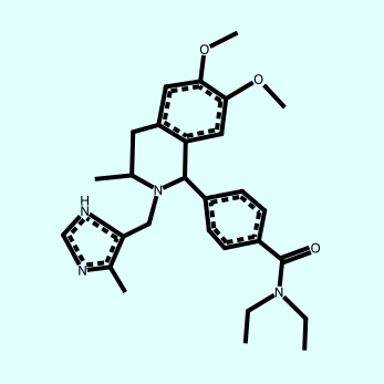 CCN(CC)C(=O)c1ccc(C2c3cc(OC)c(OC)cc3CC(C)N2Cc2[nH]cnc2C)cc1